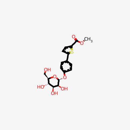 COC(=O)c1ccc(-c2ccc(O[C@H]3O[C@H](CO)[C@@H](O)[C@H](O)[C@@H]3O)cc2)s1